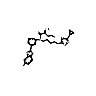 C=C(CCF)C(=O)N(CCCCCc1nc(C2CC2)no1)c1cccc(-c2nc3cc(F)ccc3o2)c1